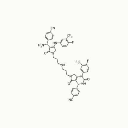 N#Cc1ccc(C(N)C2=C(Nc3ccc(F)c(C(F)(F)F)c3)CN(CCCNCCCN3CC4=C(C3=O)C(c3ccc(C#N)cc3)NC(=O)N4c3ccc(F)c(C(F)(F)F)c3)C2=O)cc1